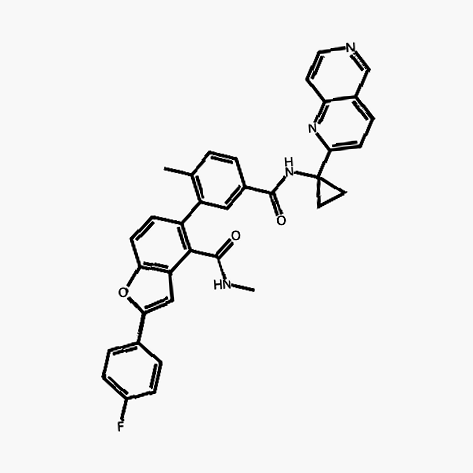 CNC(=O)c1c(-c2cc(C(=O)NC3(c4ccc5cnccc5n4)CC3)ccc2C)ccc2oc(-c3ccc(F)cc3)cc12